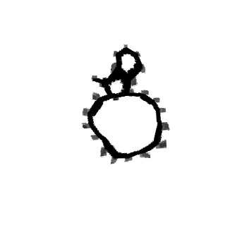 Cn1c2c(c3ccccc31)/C=C\CCCCCCCCC/C=C\2